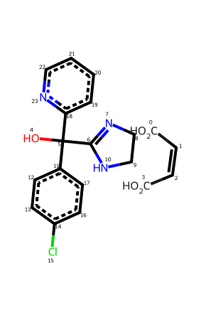 O=C(O)/C=C\C(=O)O.OC(C1=NCCN1)(c1ccc(Cl)cc1)c1ccccn1